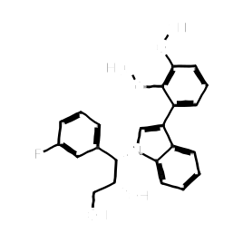 COc1cccc(-c2cn([C@@H](c3cccc(F)c3)[C@H](O)CO)c3ccccc23)c1OC